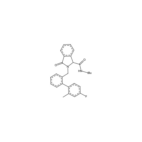 Cc1cc(F)ccc1-c1ccccc1CN1C(=O)c2ccccc2C1C(=O)NC(C)(C)C